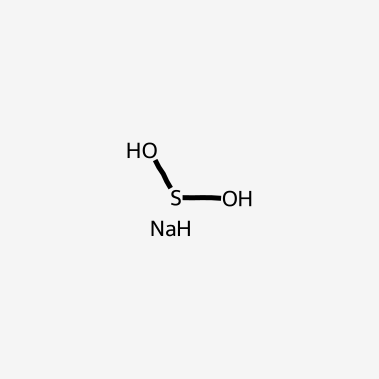 OSO.[NaH]